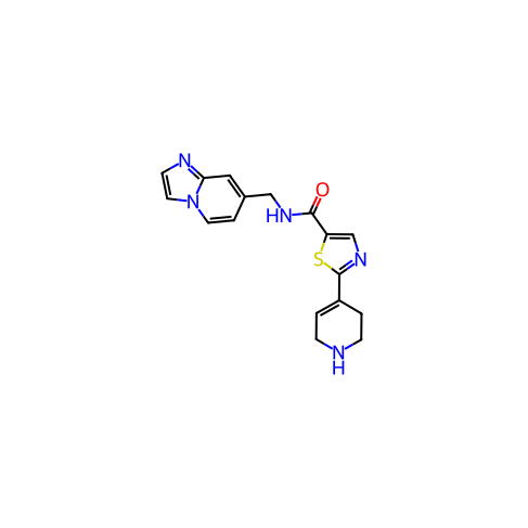 O=C(NCc1ccn2ccnc2c1)c1cnc(C2=CCNCC2)s1